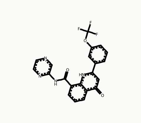 O=C(Nc1cnccn1)c1cccc2c(=O)cc(-c3cccc(OC(F)(F)F)c3)[nH]c12